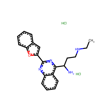 CCNCCC(N)c1nc(-c2cc3ccccc3o2)nc2ccccc12.Cl.Cl